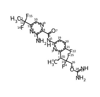 C[C@@H](c1nc(NC(=O)c2ncc(C(C)(F)F)nc2N)ccc1F)C(F)(F)COC(=N)N